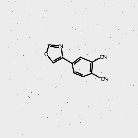 N#Cc1ccc(-c2co[c]n2)cc1C#N